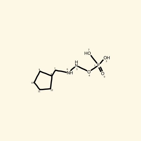 O=P(O)(O)ONNCC1CCCC1